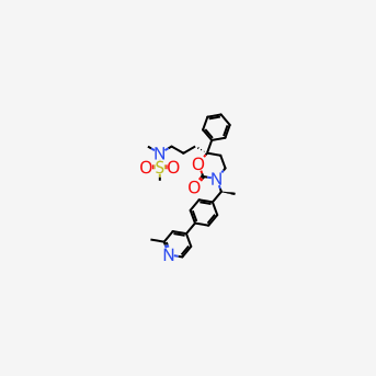 Cc1cc(-c2ccc([C@H](C)N3CC[C@](CCCN(C)S(C)(=O)=O)(c4ccccc4)OC3=O)cc2)ccn1